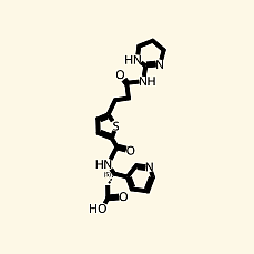 O=C(O)C[C@H](NC(=O)c1ccc(CCC(=O)NC2=NCCCN2)s1)c1cccnc1